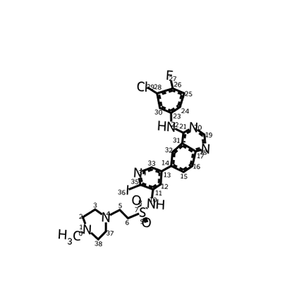 CN1CCN(CCS(=O)(=O)Nc2cc(-c3ccc4ncnc(Nc5ccc(F)c(Cl)c5)c4c3)cnc2I)CC1